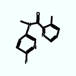 Cc1cccnc1C(=O)N(C)c1ccc(F)nc1